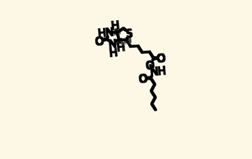 CCCCCC(=O)NOC(=O)CCCC[C@@H]1SC[C@@H]2NC(=O)N[C@@H]21